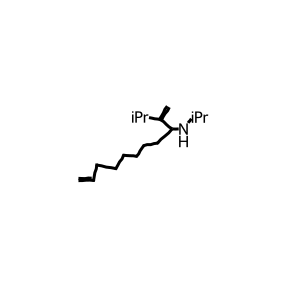 C=CCCCCCCC(NC(C)C)C(=C)C(C)C